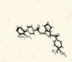 Cc1cccc(N2CCN(C(=O)Cn3nc(C(=O)N4CCC(C)(N)CC4)c4c3CCC4)CC2)c1C